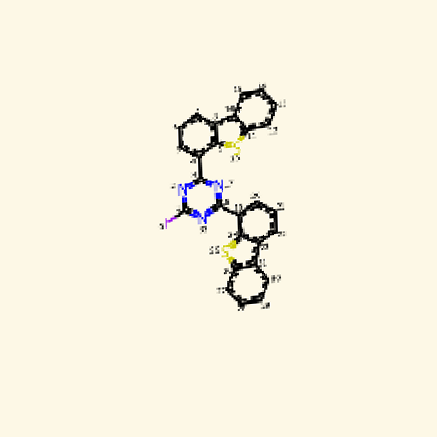 Ic1nc(-c2cccc3c2sc2ccccc23)nc(-c2cccc3c2sc2ccccc23)n1